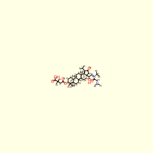 CC(C)C1=C2[C@H]3CC[C@@H]4[C@@]5(C)CCC(OC(=O)CC(C)(C)C(=O)O)C(C)(C)[C@@H]5CC[C@@]4(C)[C@]3(C)CC[C@@]2([C@@H](O)CN(C(=O)CN(C)C)C(C)C)CC1=O